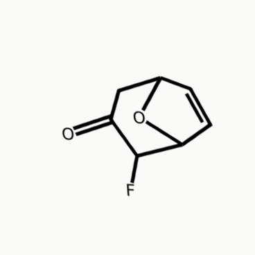 O=C1CC2C=CC(O2)C1F